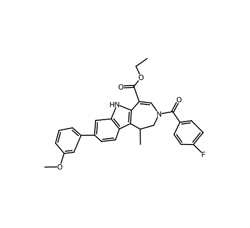 CCOC(=O)C1=CN(C(=O)c2ccc(F)cc2)CC(C)c2c1[nH]c1cc(-c3cccc(OC)c3)ccc21